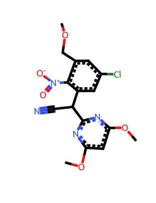 COCc1cc(Cl)cc(C(C#N)c2nc(OC)cc(OC)n2)c1[N+](=O)[O-]